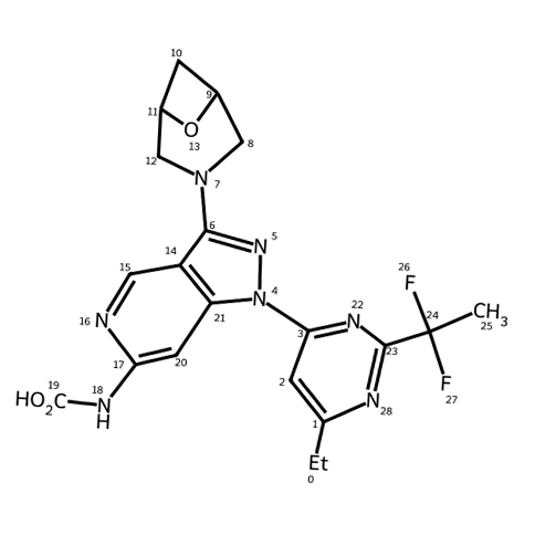 CCc1cc(-n2nc(N3CC4CC(C3)O4)c3cnc(NC(=O)O)cc32)nc(C(C)(F)F)n1